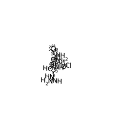 CC(=O)Cl.N=C(N)NCCCC(NC(=O)C1CCCN1C(=O)C(N)Cc1ccccc1)C(=O)O